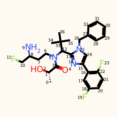 C[C@H](O)C(=O)N(CC[C@H](N)CF)C(c1nc(-c2cc(F)ccc2F)cn1Cc1ccccc1)C(C)(C)C